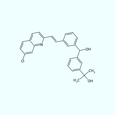 CC(C)(O)c1cccc(C(O)c2cccc(C=Cc3ccc4ccc(Cl)cc4n3)c2)c1